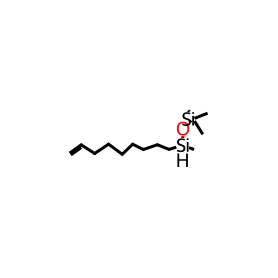 C=CCCCCCCC[SiH](C)O[Si](C)(C)C